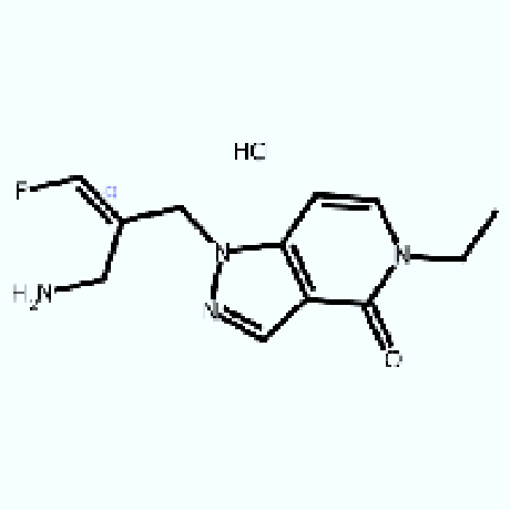 CCn1ccc2c(cnn2C/C(=C/F)CN)c1=O.Cl